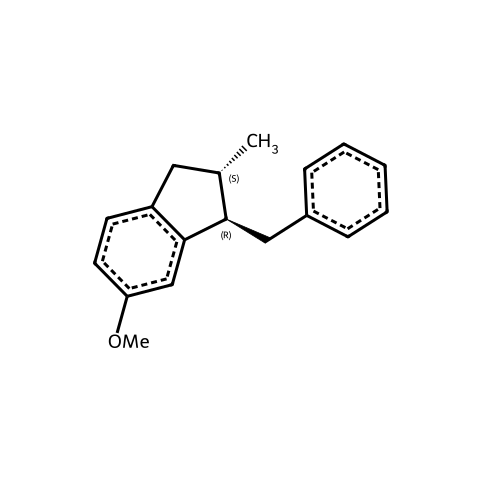 COc1ccc2c(c1)[C@H](Cc1ccccc1)[C@@H](C)C2